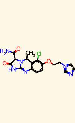 CC1c2c(ccc(OCCn3ccnc3)c2Cl)N=C2NC(=O)C(C(N)=O)N21